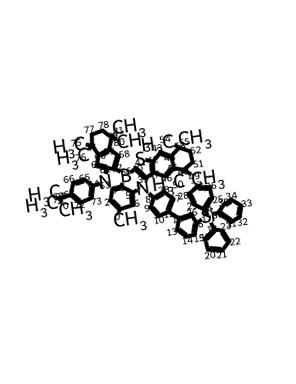 Cc1cc2c3c(c1)N(c1ccc(-c4cccc([Si](c5ccccc5)(c5ccccc5)c5ccccc5)c4)cc1)c1c(sc4cc5c(cc14)C(C)(C)CCC5(C)C)B3c1cc3c(cc1N2c1ccc(C(C)(C)C)cc1)C(C)(C)CCC3(C)C